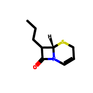 CCCC1C(=O)N2C=CCS[C@@H]12